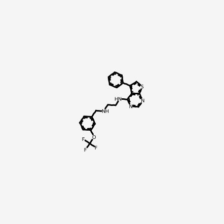 FC(F)(F)Oc1cccc(CNCCNc2ncnc3scc(-c4ccccc4)c23)c1